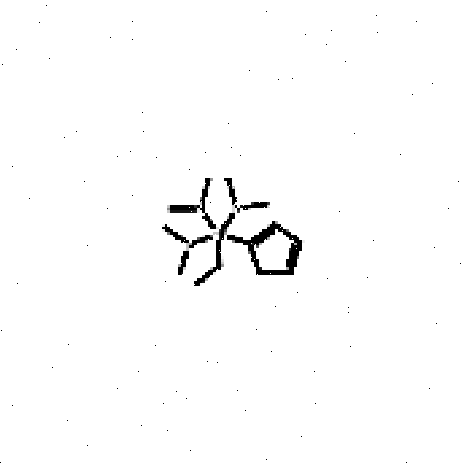 C[CH2][Hf]([C]1=CC=CC1)([N](C)C)([N](C)C)[N](C)C